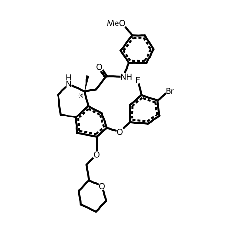 COc1cccc(NC(=O)C[C@@]2(C)NCCc3cc(OCC4CCCCO4)c(Oc4ccc(Br)c(F)c4)cc32)c1